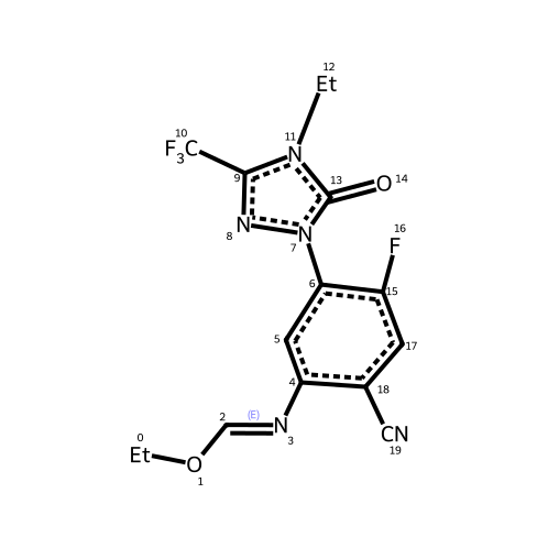 CCO/C=N/c1cc(-n2nc(C(F)(F)F)n(CC)c2=O)c(F)cc1C#N